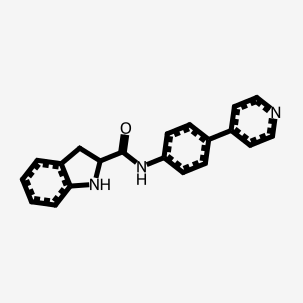 O=C(Nc1ccc(-c2ccncc2)cc1)C1Cc2ccccc2N1